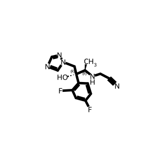 C[C@@H](NCC#N)[C@](O)(Cn1cncn1)c1ccc(F)cc1F